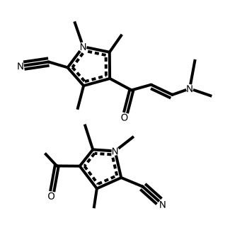 CC(=O)c1c(C)c(C#N)n(C)c1C.Cc1c(C(=O)C=CN(C)C)c(C)n(C)c1C#N